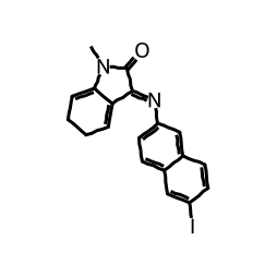 CN1C(=O)/C(=N/c2ccc3cc(I)ccc3c2)C2=CCCC=C21